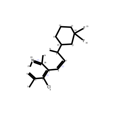 C=C(C)/C(Cl)=C(/C=C\C(C)C1CCCC(F)(F)C1)C(\C)=N/C